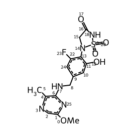 COc1cnc(C)c(NCc2cc(O)c(N3CC(=O)NS3(=O)=O)c(F)c2)n1